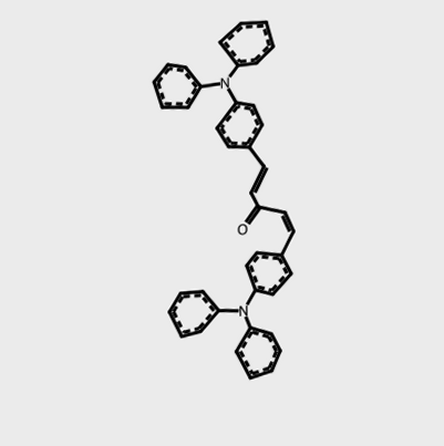 O=C(/C=C\c1ccc(N(c2ccccc2)c2ccccc2)cc1)/C=C/c1ccc(N(c2ccccc2)c2ccccc2)cc1